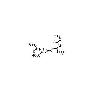 CC(C)(C)OC(=O)NC(CSSC[C@H](NC(=O)OC(C)(C)C)C(=O)O)C(=O)O